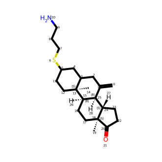 C=C1CC2CC(SCCCN)CC[C@]2(C)[C@@H]2CC[C@]3(C)C(=O)CC[C@H]3[C@H]12